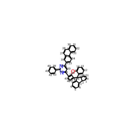 C1=CC2c3ccccc3C3(c4ccccc4Oc4c(-c5cc(-c6ccc7c(ccc8ccccc87)c6)nc(-c6ccccc6)n5)cccc43)C2C=C1